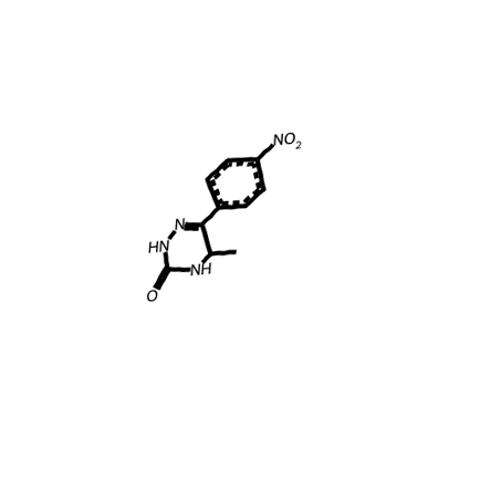 CC1NC(=O)NN=C1c1ccc([N+](=O)[O-])cc1